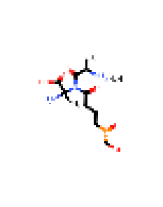 CC(N)C(=O)N(C(=O)CCC[PH](=O)CO)C(C)(N)C(=O)O.[NaH]